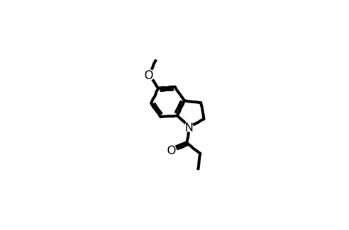 CCC(=O)N1CCc2cc(OC)ccc21